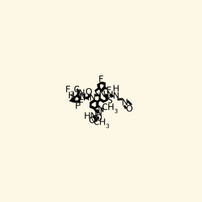 Cn1nc(NS(C)(=O)=O)c2cccc(-c3cc4sc(NCCN5CCOCC5)nc4nc3[C@H](Cc3cc(F)cc(F)c3)NC(=O)Cn3nc(C(F)(F)F)c4c3C(F)(F)C3C[C@H]43)c21